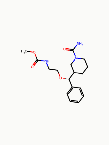 COC(=O)NCCO[C@@H](c1ccccc1)[C@@H]1CCCN(C(N)=O)C1